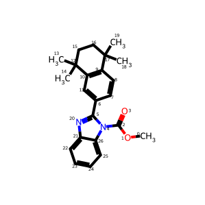 COC(=O)n1c(-c2ccc3c(c2)C(C)(C)CCC3(C)C)nc2ccccc21